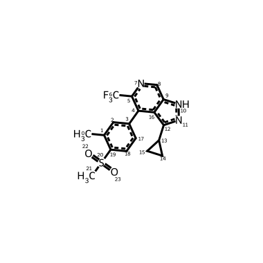 Cc1cc(-c2c(C(F)(F)F)ncc3[nH]nc(C4CC4)c23)ccc1S(C)(=O)=O